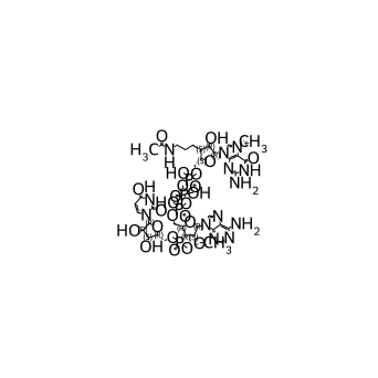 CO[C@@H]1[C@H](P(=O)([O-])OC[C@H]2O[C@@H](n3ccc(=O)[nH]c3=O)[C@H](O)[C@@H]2O)[C@@H](COP(=O)(O)OP(=O)(O)OP(=O)(O)OC[C@H]2O[C@@H](n3c[n+](C)c4c(=O)[nH]c(N)nc43)[C@H](O)[C@@H]2CCCNC(C)=O)O[C@H]1n1cnc2c(N)ncnc21